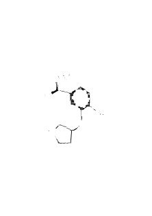 COC(=O)c1ccc(Br)c(OC2CCOC2)c1